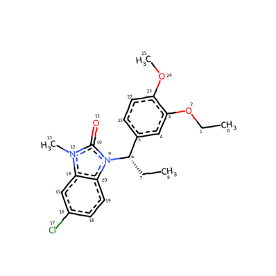 CCOc1cc([C@H](CC)n2c(=O)n(C)c3cc(Cl)ccc32)ccc1OC